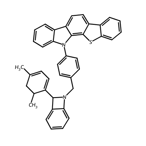 CC1=CC=C(C2c3ccccc3N2Cc2ccc(-n3c4ccccc4c4ccc5c6ccccc6sc5c43)cc2)C(C)C1